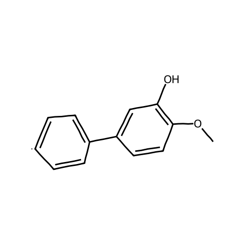 COc1ccc(-c2cc[c]cc2)cc1O